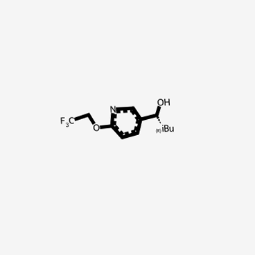 CC[C@@H](C)C(O)c1ccc(OCC(F)(F)F)nc1